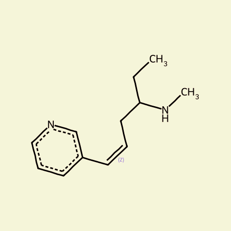 CCC(C/C=C\c1cccnc1)NC